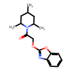 CC1CC(C)N(C(=O)COc2nc3ccccc3o2)C(C)C1